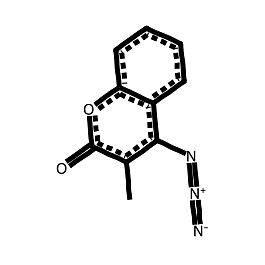 Cc1c(N=[N+]=[N-])c2ccccc2oc1=O